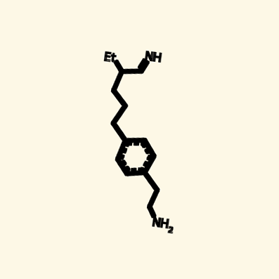 CCC(C=N)CCCc1ccc(CCN)cc1